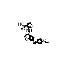 CCOc1ccc(N(C)c2ccc3c(c2)OCC[C@H]3CNc2cnccc2C(O)OC)cc1